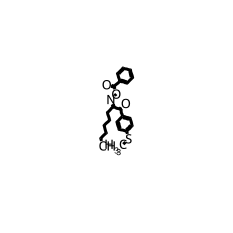 CCCCCCC(=NOC(=O)c1ccccc1)C(=O)c1ccc(SC)cc1